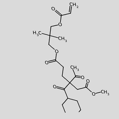 C=CC(=O)OCC(C)(C)COC(=O)CCC(CC(=O)OC)(C(C)=O)C(=O)C1CCCCC1